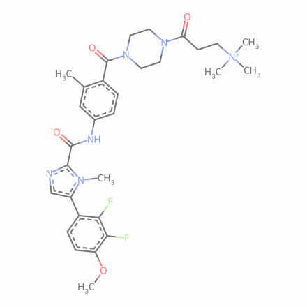 COc1ccc(-c2cnc(C(=O)Nc3ccc(C(=O)N4CCN(C(=O)CC[N+](C)(C)C)CC4)c(C)c3)n2C)c(F)c1F